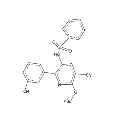 CCCCOc1nc(-c2cccc(C)c2)c(NS(=O)(=O)c2ccccc2)cc1C#N